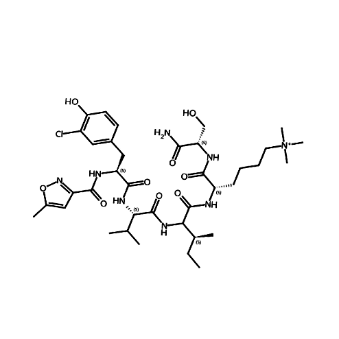 CC[C@H](C)C(NC(=O)[C@@H](NC(=O)[C@H](Cc1ccc(O)c(Cl)c1)NC(=O)c1cc(C)on1)C(C)C)C(=O)N[C@@H](CCCC[N+](C)(C)C)C(=O)N[C@@H](CO)C(N)=O